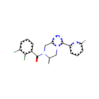 CC1Cn2c(nnc2-c2cccc(F)n2)CN1C(=O)c1cccc(Cl)c1Cl